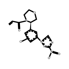 C=CC(=O)N1CCOC[C@H]1c1cc(Cl)cc(-n2cnc([N+](=O)[O-])n2)c1